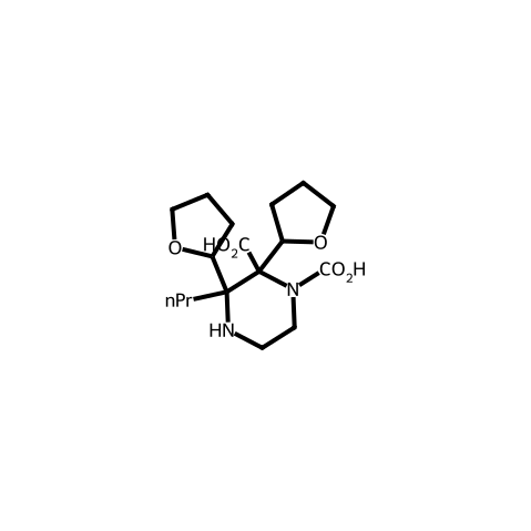 CCCC1(C2CCCO2)NCCN(C(=O)O)C1(C(=O)O)C1CCCO1